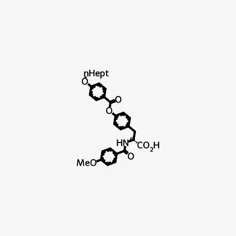 CCCCCCCOc1ccc(C(=O)Oc2ccc(C[C@@H](NC(=O)c3ccc(OC)cc3)C(=O)O)cc2)cc1